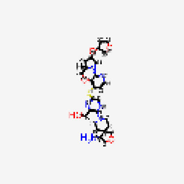 N[C@@H]1COCC12CCN(c1ncc(Sc3ccnc4c3OC[C@@H]3C[C@H](O[C@H]5CCOC5)CN43)nc1CO)CC2